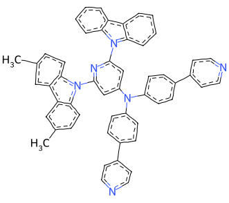 Cc1ccc2c(c1)c1cc(C)ccc1n2-c1cc(N(c2ccc(-c3ccncc3)cc2)c2ccc(-c3ccncc3)cc2)cc(-n2c3ccccc3c3ccccc32)n1